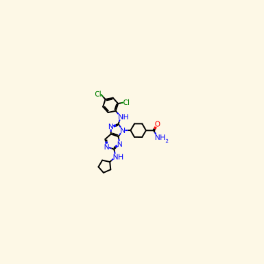 NC(=O)C1CCC(n2c(Nc3ccc(Cl)cc3Cl)nc3cnc(NC4CCCC4)nc32)CC1